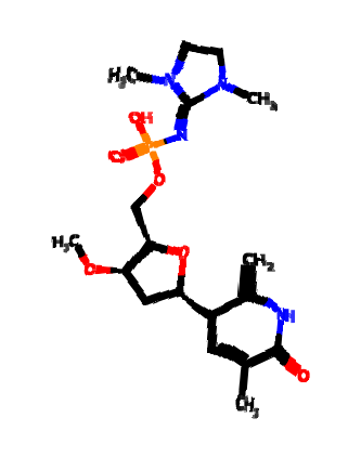 C=C1NC(=O)C(C)=CC1[C@H]1C[C@@H](OC)[C@@H](COP(=O)(O)N=C2N(C)CCN2C)O1